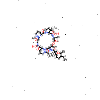 CCC1OC(OC(C)=O)(C(C)(OC(C)=O)C(=O)NC2C(=O)N3C(CCCN3C(C)=O)C(=O)N(O)CC(=O)N3C(CCCN3C(C)=O)C(=O)N3CCC(C)(OC(C)=O)C3C(=O)N(O)C(C(C)C)C(=O)OC2C(C)C)CCC1CC(C)C